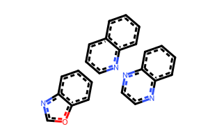 c1ccc2ncccc2c1.c1ccc2nccnc2c1.c1ccc2ocnc2c1